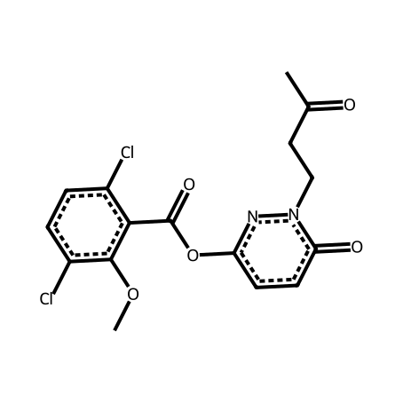 COc1c(Cl)ccc(Cl)c1C(=O)Oc1ccc(=O)n(CCC(C)=O)n1